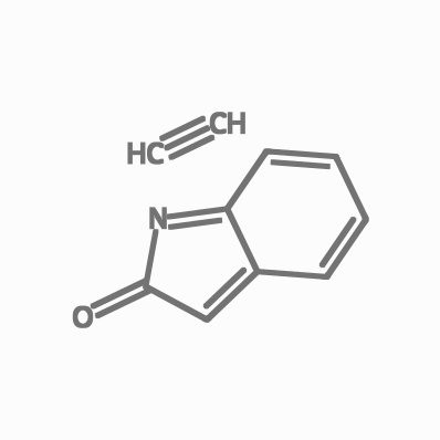 C#C.O=C1C=c2ccccc2=N1